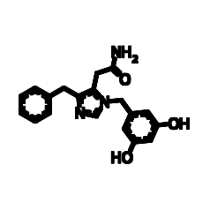 NC(=O)Cc1c(Cc2ccccc2)ncn1Cc1cc(O)cc(O)c1